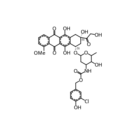 COc1cccc2c1C(=O)c1c(O)c3c(c(O)c1C2=O)C[C@@](O)(C(=O)CO)C[C@@H]3OC1CC(NC(=O)OCc2ccc(O)c(Cl)c2)C(O)C(C)O1